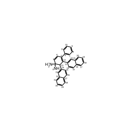 NC1(N)C=CC(c2ccccc2)=C(c2ccc3ccccc3c2)C1c1ccc2ccccc2c1